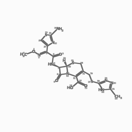 CON=C(C(=O)N[C@@H]1C(=O)N2C(C(=O)O)=C(CSc3nnc(C)[nH]3)CS[C@@H]12)c1csc(N)n1